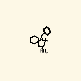 CC1(C)CC(N)CC2(CCCCC2)N1Cc1ccccc1